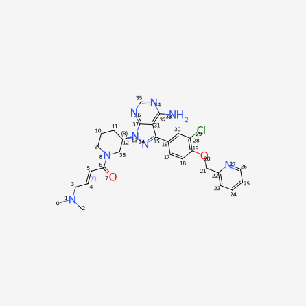 CN(C)C/C=C/C(=O)N1CCC[C@@H](n2nc(-c3ccc(OCc4ccccn4)c(Cl)c3)c3c(N)ncnc32)C1